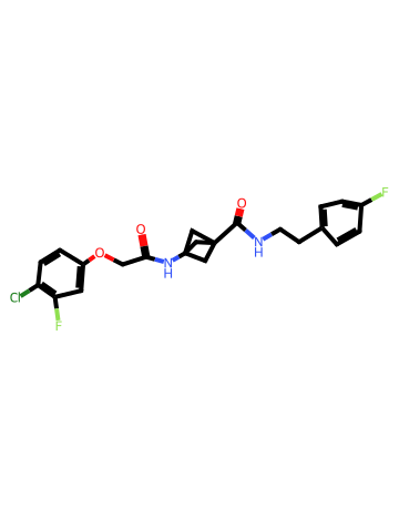 O=C(COc1ccc(Cl)c(F)c1)NC12CC(C(=O)NCCc3ccc(F)cc3)(C1)C2